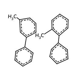 Cc1cccc(-c2ccccc2)c1.Cc1ccccc1-c1ccccc1